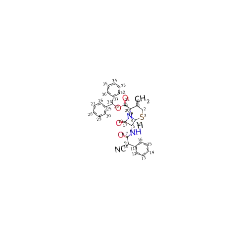 C=C1CS[C@H]2[C@H](NC(=O)C(C#N)c3ccccc3)C(=O)N2[C@H]1C(=O)OC(c1ccccc1)c1ccccc1